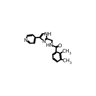 Cc1cccc(C(=O)NCc2nc(-c3ccncc3)c[nH]2)c1C